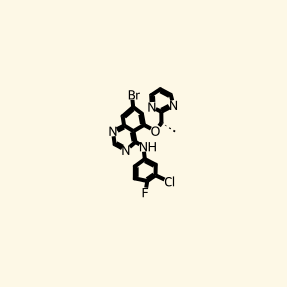 C[C@H](Oc1cc(Br)cc2ncnc(Nc3ccc(F)c(Cl)c3)c12)c1ncccn1